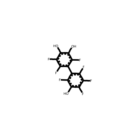 Oc1c(O)c(F)c(-c2c(F)c(O)c(F)c(F)c2F)c(F)c1F